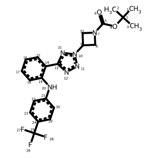 CC(C)(C)OC(=O)N1CC(n2nnc(-c3ccccc3Nc3ccc(C(F)(F)F)cc3)n2)C1